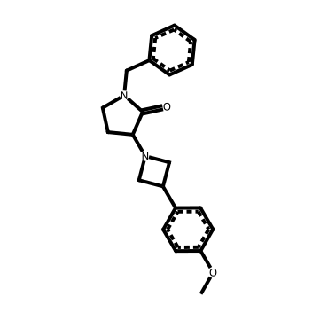 COc1ccc(C2CN(C3CCN(Cc4ccccc4)C3=O)C2)cc1